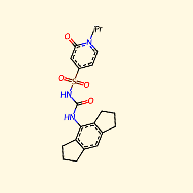 CC(C)n1ccc(S(=O)(=O)NC(=O)Nc2c3c(cc4c2CCC4)CCC3)cc1=O